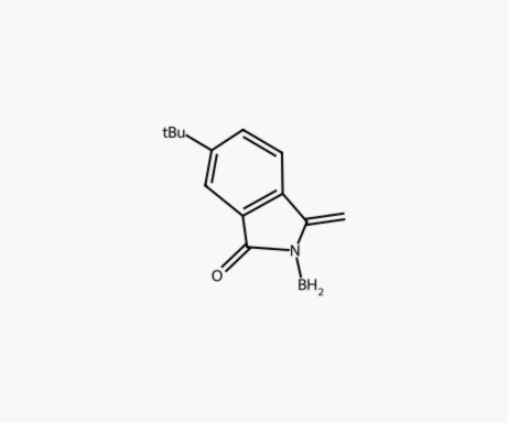 BN1C(=C)c2ccc(C(C)(C)C)cc2C1=O